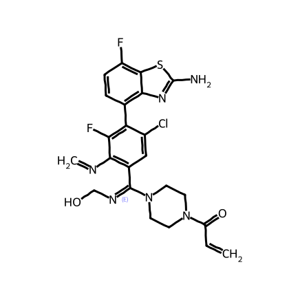 C=CC(=O)N1CCN(/C(=N/CO)c2cc(Cl)c(-c3ccc(F)c4sc(N)nc34)c(F)c2N=C)CC1